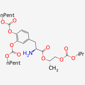 CCCCCOC(=O)Oc1ccc(C[C@H](N)C(=O)O[C@@H](C)COC(=O)OC(C)C)cc1OC(=O)OCCCCC